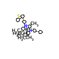 Cc1cc2c3c(c1)N(c1ccc(-c4cccc5sc6ccccc6c45)cc1)c1ccc(C(C)(C)C)cc1B3c1cc(C(C)(C)C)ccc1N2c1ccc(-c2ccccc2)cc1